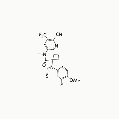 COc1ccc(N(C=S)C2(C(=O)N(C)c3cnc(C#N)c(C(F)(F)F)c3)CCC2)cc1F